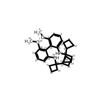 COc1cccc(PC2(C3CCC3)CCC2)c1-c1c(OC)cccc1PC1(C2CCC2)CCC1